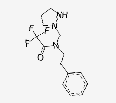 O=C(N(CCc1ccccc1)CN1CCCN1)C(F)(F)F